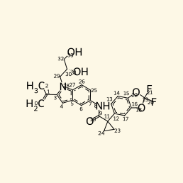 C=C(C)c1cc2cc(NC(=O)C3(c4ccc5c(c4)OC(F)(F)O5)CC3)ccc2n1C[C@@H](O)CO